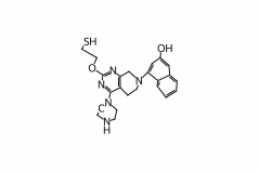 Oc1cc(N2CCc3c(nc(OCCS)nc3N3CCNCC3)C2)c2ccccc2c1